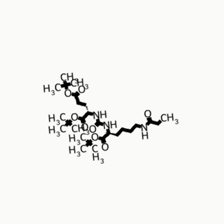 CCC(=O)NCCCC[C@H](NC(=O)N[C@@H](CCC(=O)OC(C)(C)C)C(=O)OC(C)(C)C)C(=O)OC(C)(C)C